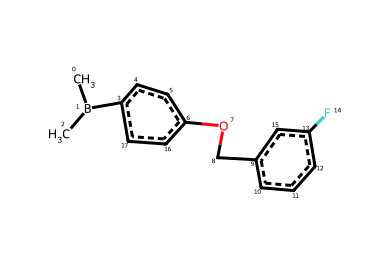 CB(C)c1ccc(OCc2cccc(F)c2)cc1